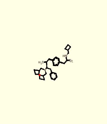 CCC(Cc1ccc(CC(C)C(Cc2ccccc2)N(CC2CCC2)CC2CCC2)cc1)NCC1CCC1